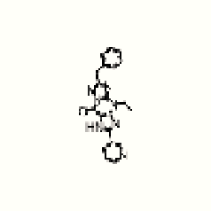 CCn1c2nc(-c3cccnc3)[nH]c2c(=O)n2nc(Cc3ccccc3)nc12